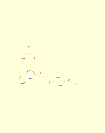 CCCCOC(=O)N1CCN(C(=O)CNC(=O)c2cc(OCC(=O)N3[C@@H]4CCCC[C@@H]4C[C@H]3C(=O)O)c3ccc(C)cc3n2)CC1